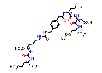 CCSSC[C@H](NC(=O)[C@H](CC(=O)O)NC(=O)[C@H](CCC(=O)O)NC(=O)Cc1ccc(CNC(=O)NCCCC[C@H](NC(=O)N[C@@H](CCC(=O)O)C(=O)O)C(=O)O)cc1)C(=O)O